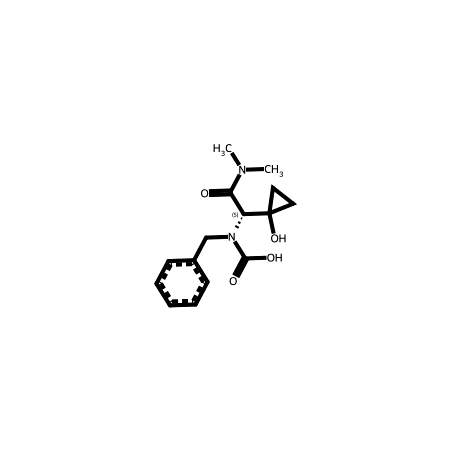 CN(C)C(=O)[C@@H](N(Cc1ccccc1)C(=O)O)C1(O)CC1